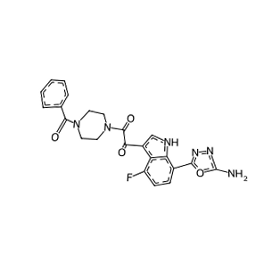 Nc1nnc(-c2ccc(F)c3c(C(=O)C(=O)N4CCN(C(=O)c5ccccc5)CC4)c[nH]c23)o1